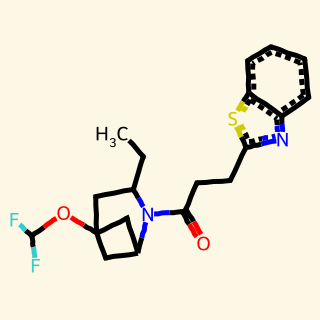 CCC1CC2(OC(F)F)CC(C2)N1C(=O)CCc1nc2ccccc2s1